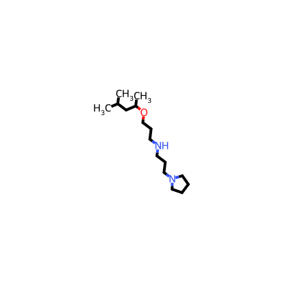 CC(C)CC(C)OCCCNCCCN1CCCC1